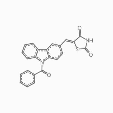 O=C1NC(=O)C(=Cc2ccc3c(c2)c2ccccc2n3C(=O)c2ccccc2)S1